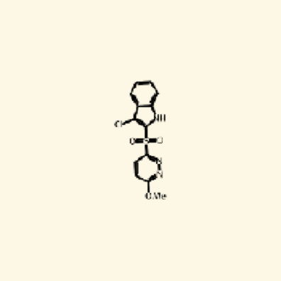 COc1ccc(S(=O)(=O)c2[nH]c3ccccc3c2Cl)nn1